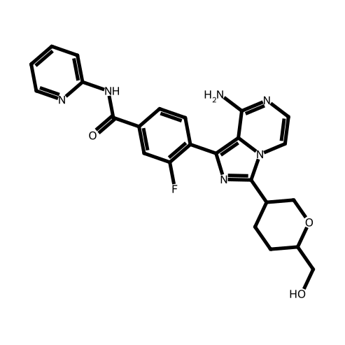 Nc1nccn2c(C3CCC(CO)OC3)nc(-c3ccc(C(=O)Nc4ccccn4)cc3F)c12